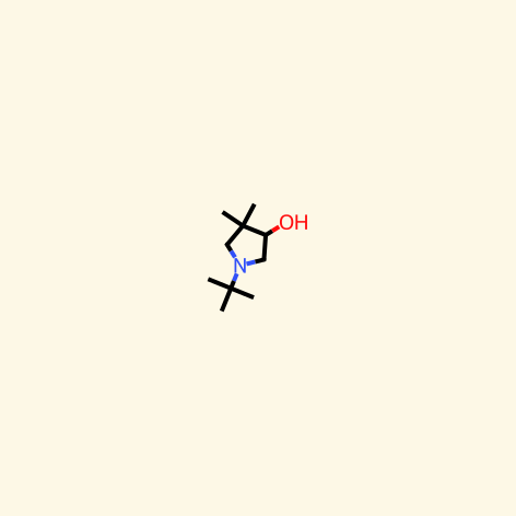 CC1(C)CN(C(C)(C)C)CC1O